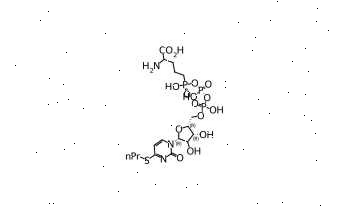 CCCSc1ccn([C@@H]2O[C@H](COP(=O)(O)OP(=O)(O)OP(=O)(O)CCCC(N)C(=O)O)[C@H](O)C2O)c(=O)n1